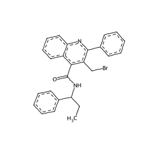 CCC(NC(=O)c1c(CBr)c(-c2ccccc2)nc2ccccc12)c1ccccc1